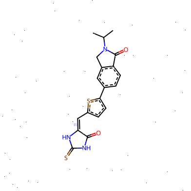 CC(C)N1Cc2cc(-c3ccc(/C=C4/NC(=S)NC4=O)s3)ccc2C1=O